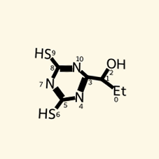 CCC(O)c1nc(S)nc(S)n1